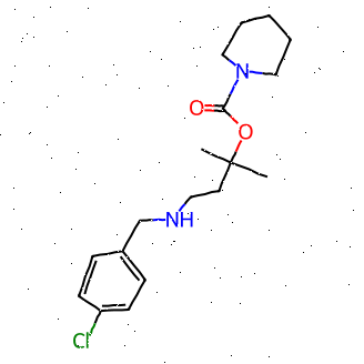 CC(C)(CCNCc1ccc(Cl)cc1)OC(=O)N1CCCCC1